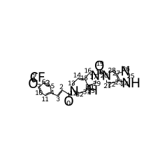 O=C(C=Cc1ccc(OC(F)(F)F)cc1)N1CC=C2CN(C(=O)N3CCc4[nH]cnc4C3)C[C@H]2CC1